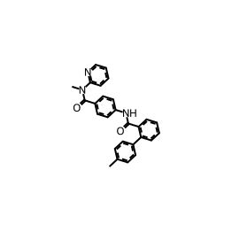 Cc1ccc(-c2ccccc2C(=O)Nc2ccc(C(=O)N(C)c3ccccn3)cc2)cc1